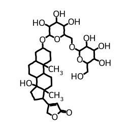 CC12CCC(OC3OC(COC4OC(CO)C(O)C(O)C4O)C(O)C(O)C3O)CC1CCC1C2CCC2(C)C(C3=CC(=O)OC3)CCC12O